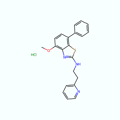 COc1ccc(-c2ccccc2)c2sc(NCCc3ccccn3)nc12.Cl